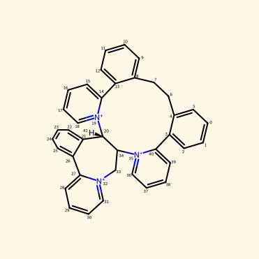 c1ccc2c(c1)CCc1ccccc1-c1cccc[n+]1[C@H]1c3ccccc3-c3cccc[n+]3CC1[n+]1ccccc1-2